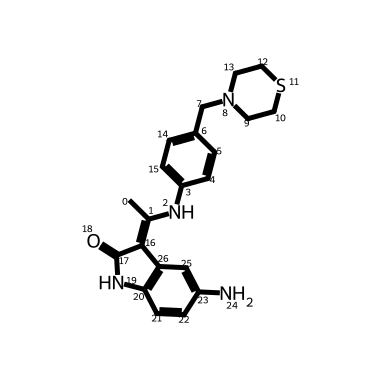 CC(Nc1ccc(CN2CCSCC2)cc1)=C1C(=O)Nc2ccc(N)cc21